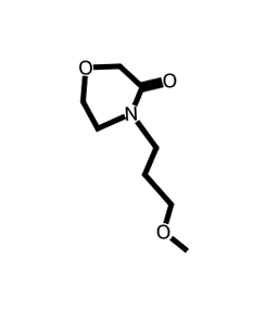 COCCCN1CCOCC1=O